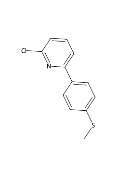 CSc1ccc(-c2cccc(Cl)n2)cc1